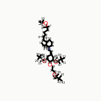 C[C@H](CCCC(C)(C)O[Si](C)(C)C)[C@H]1CC[C@H]2/C(=C/C=C3C[C@@H](O[Si](C)(C)C(C)(C)C)C(OCCCO[Si](C)(C)C(C)(C)C)[C@H](O[Si](C)(C)C(C)(C)C)C3)CCC[C@]12C